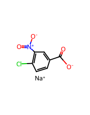 O=C([O-])c1ccc(Cl)c([N+](=O)[O-])c1.[Na+]